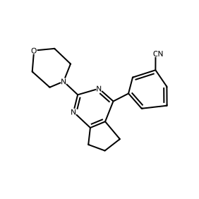 N#Cc1cccc(-c2nc(N3CCOCC3)nc3c2CCC3)c1